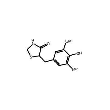 CCCc1cc(CC2SCNC2=O)cc(C(C)(C)C)c1O